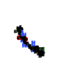 O=C(NCc1ncccc1F)c1coc(CCNCCc2nc3cc(-c4ccccc4Cl)ccc3[nH]2)n1